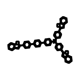 c1ccc2oc(-c3ccc(-c4ccc(-c5ccc(N(c6ccc(-c7cc8ccccc8o7)cc6)c6ccc(-c7cc8ccccc8o7)cc6)cc5)cc4)cc3)cc2c1